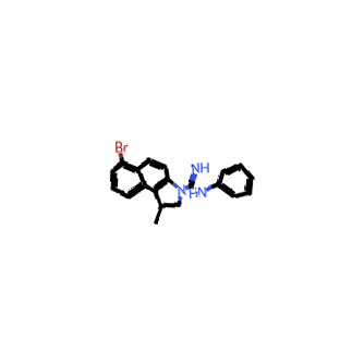 CC1CN(C(=N)Nc2ccccc2)c2ccc3c(Br)cccc3c21